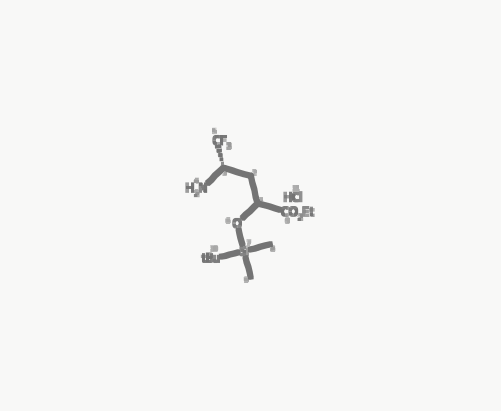 CCOC(=O)C(C[C@H](N)C(F)(F)F)O[Si](C)(C)C(C)(C)C.Cl